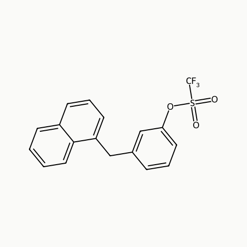 O=S(=O)(Oc1cccc(Cc2cccc3ccccc23)c1)C(F)(F)F